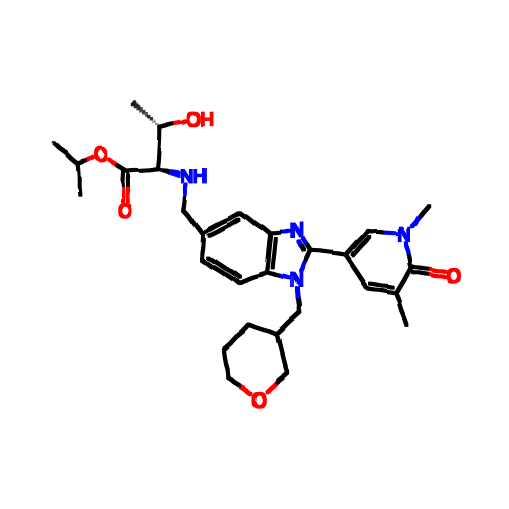 Cc1cc(-c2nc3cc(CN[C@@H](C(=O)OC(C)C)[C@H](C)O)ccc3n2CC2CCCOC2)cn(C)c1=O